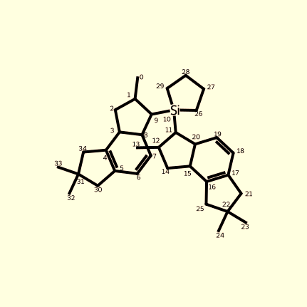 CC1CC2C3=C(C=CC2C1[Si]1(C2C(C)CC4C5=C(C=CC42)CC(C)(C)C5)CCCC1)CC(C)(C)C3